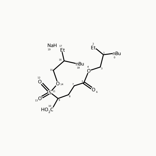 CCCCC(CC)COC(=O)CCC(C(=O)O)S(=O)(=O)OCC(CC)CCCC.[NaH]